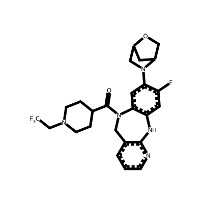 O=C(C1CCN(CC(F)(F)F)CC1)N1Cc2cccnc2Nc2cc(F)c(N3CC4CC3CO4)cc21